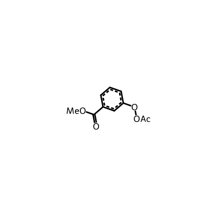 COC(=O)c1cccc(OOC(C)=O)c1